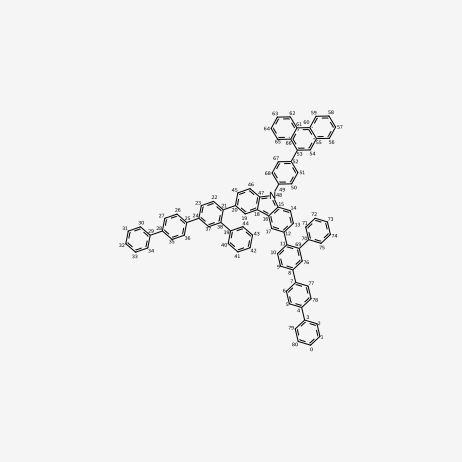 c1ccc(-c2ccc(-c3ccc(-c4ccc5c(c4)c4cc(-c6ccc(-c7ccc(-c8ccccc8)cc7)cc6-c6ccccc6)ccc4n5-c4ccc(-c5cc6ccccc6c6ccccc56)cc4)c(-c4ccccc4)c3)cc2)cc1